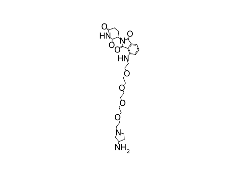 NC1CCN(CCOCCOCCOCCOCCNc2cccc3c2C(=O)N(C2CCC(=O)NC2=O)C3=O)C1